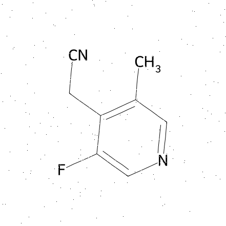 Cc1cncc(F)c1CC#N